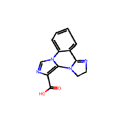 O=C(O)c1ncn2c1N1CCN=C1c1ccccc1-2